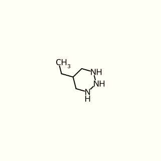 CCC1CNNNC1